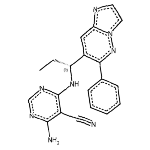 CC[C@@H](Nc1ncnc(N)c1C#N)c1cc2nccn2nc1-c1ccccc1